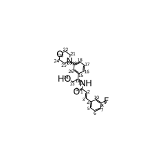 O=C(/C=C/c1cccc(F)c1)NC(CO)c1cccc(N2CCOCC2)c1